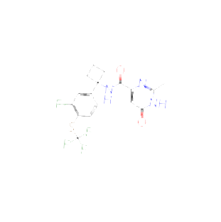 Cc1nc(C(=O)NC2(c3ccc(SC(F)(F)F)c(F)c3)CCC2)cc(=O)[nH]1